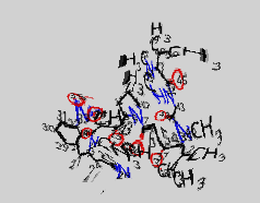 CCC(C)C(C(CC(=O)N1CCCC1C(OC)C(C)C(=O)N(C)C(CC#N)Cc1cccc([N+](=O)[O-])c1)OC)N(C)C(=O)CNC(=O)C(C(C)C)N(C)C